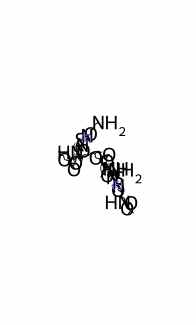 C=CCOc1cc([C@@H](CCCCC(C=C)Oc2cc([C@@H](CCC)NC(=O)[C@]3(N)CSC(/C(C)=N/OCCCNC(=O)OC(C)(C)C)=N3)oc(=O)c2)NC(=O)[C@]2(C)CSC(/C(C)=N/OCCCN)=N2)oc(=O)c1